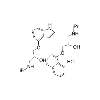 CC(C)NCC(O)COc1cccc2[nH]ccc12.CC(C)NCC(O)COc1cccc2ccccc12.Cl